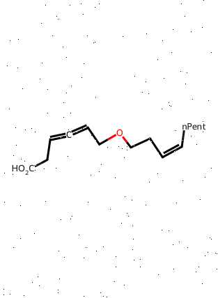 CCCCC/C=C\CCOCC=C=CCC(=O)O